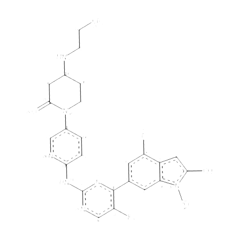 Cc1cc2c(F)cc(-c3nc(Nc4ccc(N5CCC(NCCC(F)(F)F)CC5=O)cn4)ncc3F)cc2n1C(C)C